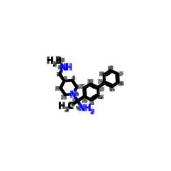 BNCC1CCN(C(C)(N)c2ccc(-c3ccccc3)cc2)CC1